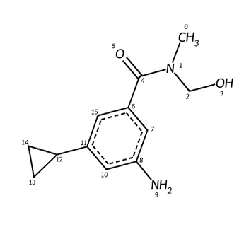 CN(CO)C(=O)c1cc(N)cc(C2CC2)c1